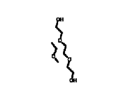 CCOC.OCCOCCOCCO